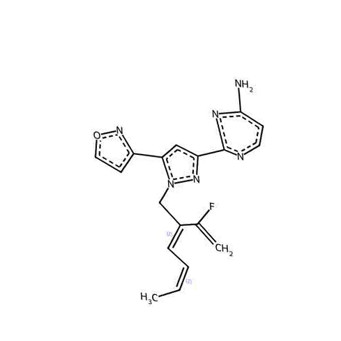 C=C(F)/C(=C\C=C/C)Cn1nc(-c2nccc(N)n2)cc1-c1ccon1